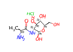 C[C@H](N)C(=O)N[C@@H]1[C@@H](O)[C@H](O)[C@@H](CO)O[C@H]1O.Cl